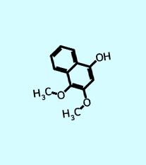 COc1cc(O)c2ccccc2c1OC